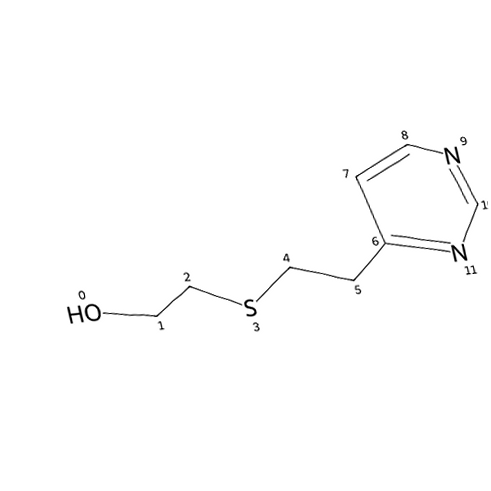 OCCSCCc1ccncn1